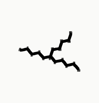 [CH2]CCCCC(CCCCC)CCCCC